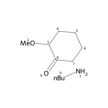 CCCCN.COC1CCCCC1=O